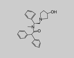 CN(C(=O)C(c1ccccc1)c1ccccc1)[C@H](CN1CCC(O)C1)c1ccccc1